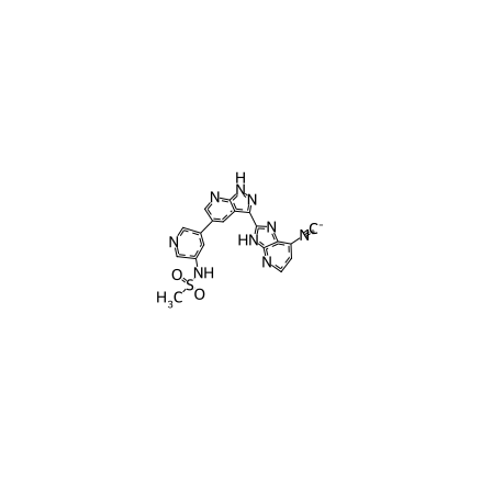 [C-]#[N+]c1ccnc2[nH]c(-c3n[nH]c4ncc(-c5cncc(NS(C)(=O)=O)c5)cc34)nc12